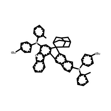 Cc1ccccc1N(c1ccc(C(C)(C)C)cc1)c1ccc2cc3c(cc2c1)C1(c2cc(N(c4ccc(C(C)(C)C)cc4)c4ccccc4C)c4sc5ccccc5c4c2-3)C2CC3CC(C2)CC1C3